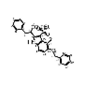 CCOC(=O)C(Cc1ccccc1)c1[nH]c2ccc(OCc3ccccn3)c(C)c2c1S(=O)(=O)CC